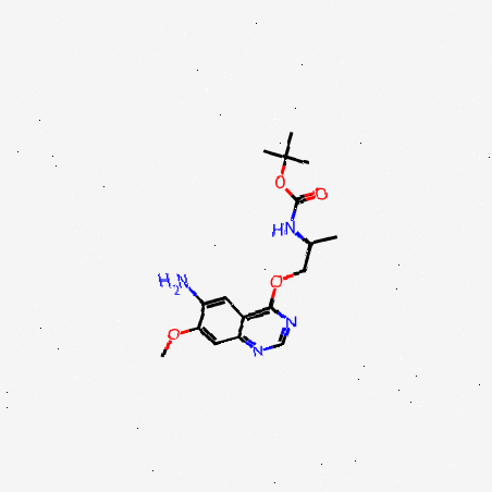 COc1cc2ncnc(OCC(C)NC(=O)OC(C)(C)C)c2cc1N